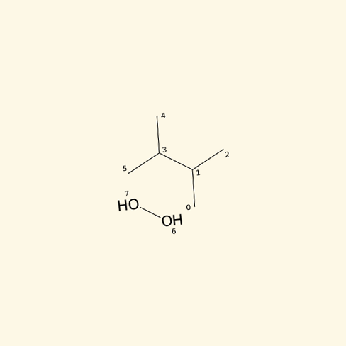 CC(C)C(C)C.OO